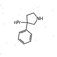 CCCC1(c2ccccc2)CCNC1